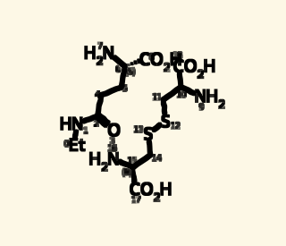 CCNC(=O)CC[C@H](N)C(=O)O.NC(CSSC[C@H](N)C(=O)O)C(=O)O